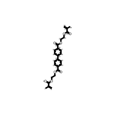 C=C(C)C(=O)OCCOC(=O)c1ccc(-c2ccc(C(=O)OCCOC(=O)C(=C)C)cc2)cc1